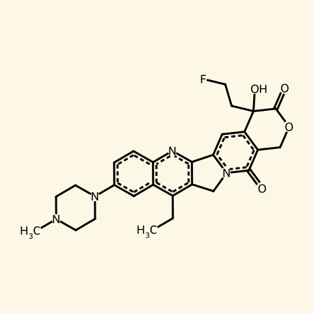 CCc1c2c(nc3ccc(N4CCN(C)CC4)cc13)-c1cc3c(c(=O)n1C2)COC(=O)C3(O)CCF